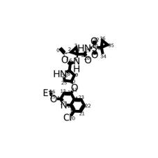 C=C[C@@H]1C[C@]1(NC(=O)C1C[C@@H](Oc2cc(OCC)nc3c(Cl)cccc23)CN1)C(=O)NS(=O)(=O)C1(C)CC1